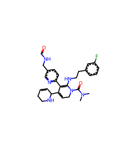 CN(C)C(=O)N1CC=C(C2C=CCCN2)C(c2ccc(CNC=O)cn2)=C1NCCc1cccc(F)c1